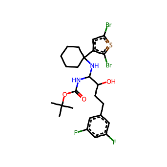 CC(C)(C)OC(=O)NC(NC1(c2cc(Br)sc2Br)CCCCC1)C(O)CCc1cc(F)cc(F)c1